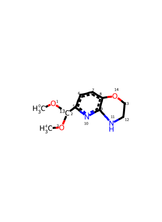 CO[13CH](OC)c1ccc2c(n1)NCCO2